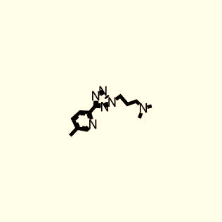 Cc1ccc(-c2nnn(CCCN(C)C)n2)nc1